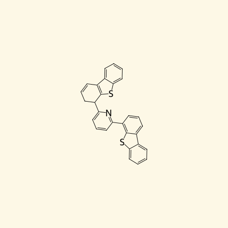 C1=Cc2c(sc3ccccc23)C(c2cccc(-c3cccc4c3sc3ccccc34)n2)C1